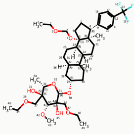 CCOCO[C@]12CC[C@H](c3ccc(C(F)(F)F)cc3)[C@@]1(C)CC[C@H]1[C@H]2CC[C@@H]2C[C@@H](O[C@@H]3O[C@@H](C)[C@@](O)(COCC)[C@@H](OC)[C@@]3(O)COCC)CC[C@@]21C